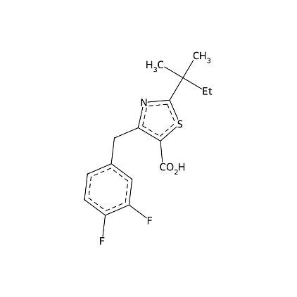 CCC(C)(C)c1nc(Cc2ccc(F)c(F)c2)c(C(=O)O)s1